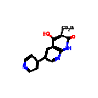 CCOC(=O)c1c(O)c2cc(-c3ccncc3)cnc2[nH]c1=O